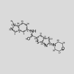 Cn1ncc2cc(NC(=O)c3cc4sc(N5CCOCC5)nc4s3)ccc21